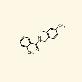 Cc1ccc(CNC(=O)c2ccccc2C)c(F)c1